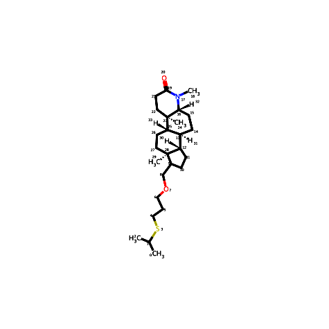 CC(C)SCCCOCC1CC[C@H]2[C@@H]3CC[C@H]4N(C)C(=O)CC[C@]4(C)[C@H]3CC[C@]12C